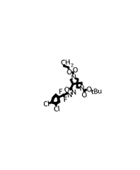 C=CCOC(=O)N1CC(c2nnc(C(F)(F)c3ccc(Cl)c(Cl)c3)o2)C2(C1)CN(C(=O)OC(C)(C)C)C2